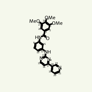 COc1cc(C(=O)Nc2cccc(Nc3nccc(-c4cccnc4)n3)c2)cc(OC)c1OC